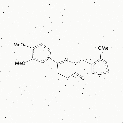 COc1ccccc1CN1N=C(c2ccc(OC)c(OC)c2)CCC1=O